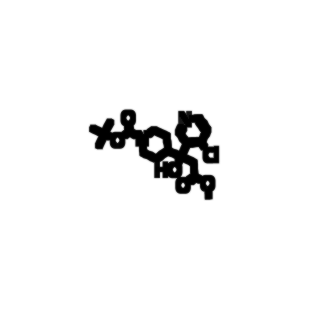 COC(=O)CC(O)(c1cnccc1Cl)C1CCN(C(=O)OC(C)(C)C)CC1